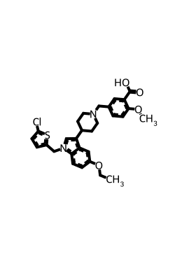 CCOc1ccc2c(c1)c(C1CCN(Cc3ccc(OC)c(C(=O)O)c3)CC1)cn2Cc1ccc(Cl)s1